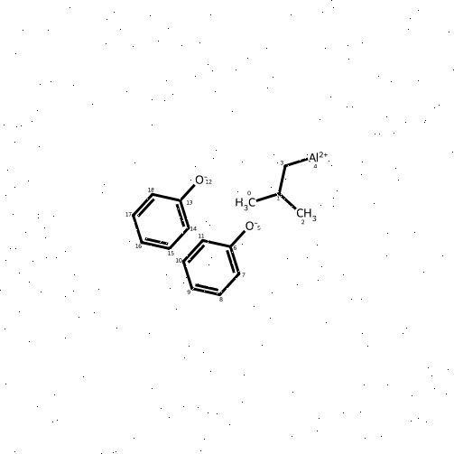 CC(C)[CH2][Al+2].[O-]c1ccccc1.[O-]c1ccccc1